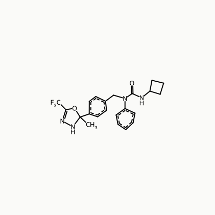 CC1(c2ccc(CN(C(=O)NC3CCC3)c3ccccc3)cc2)NN=C(C(F)(F)F)O1